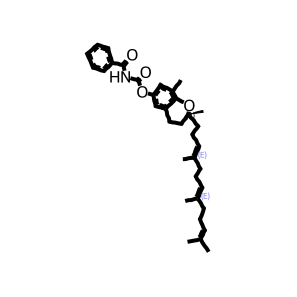 CC(C)=CCC/C(C)=C/CC/C(C)=C/CC[C@]1(C)CCc2cc(OC(=O)NC(=O)c3ccccc3)cc(C)c2O1